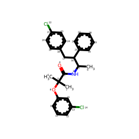 CC(NC(=O)C(C)(C)Oc1cccc(Cl)c1)C(Cc1ccc(Cl)cc1)c1ccccc1